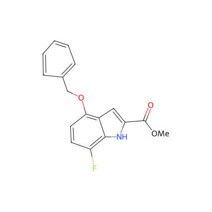 COC(=O)c1cc2c(OCc3ccccc3)ccc(F)c2[nH]1